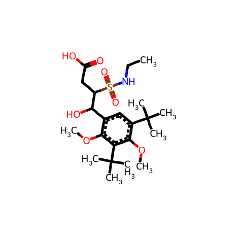 CCNS(=O)(=O)C(CC(=O)O)C(O)c1cc(C(C)(C)C)c(OC)c(C(C)(C)C)c1OC